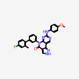 COc1ccc(Nc2ncc3c4n[nH]cc4c(=O)n(-c4cccc(-c5ccc(F)cc5C)c4)c3n2)cc1